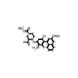 COc1cc(-c2c(Cl)cc(SN3CCN(C(=O)OC(C)(C)C)CC3C(F)F)c(N)c2F)c2ccccc2c1